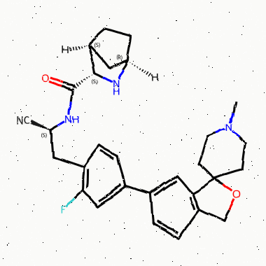 CN1CCC2(CC1)OCc1ccc(-c3ccc(C[C@@H](C#N)NC(=O)[C@H]4N[C@@H]5CC[C@H]4C5)c(F)c3)cc12